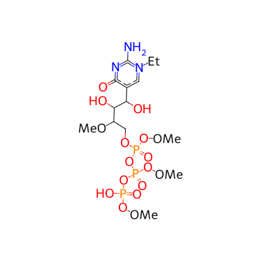 CCn1cc(C(O)C(O)C(COP(=O)(OOC)OP(=O)(OOC)OP(=O)(O)OOC)OC)c(=O)nc1N